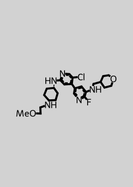 COCCN[C@H]1CC[C@H](Nc2cc(-c3cnc(F)c(NCC4CCOCC4)c3)c(Cl)cn2)CC1